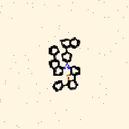 c1ccc(-c2ccc3cccc(N(c4ccc(-c5cccc6ccccc56)cc4)c4cccc5c4sc4c(-c6ccccc6)cccc45)c3c2)cc1